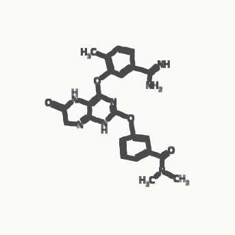 Cc1ccc(C(=N)N)cc1OC1=C2NC(=O)CN=C2NC(Oc2cccc(C(=O)N(C)C)c2)=N1